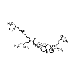 CCC(N)CCNCCCCN(CCC(N)CC)C(=O)O[C@H]1CC[C@@]2(C)C(=CC[C@H]3[C@@H]4CC[C@H]([C@H](C)CCCC(C)C)[C@@]4(C)CC[C@@H]32)C1